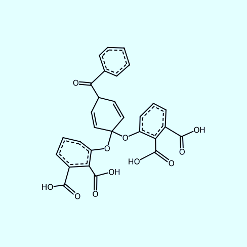 O=C(O)c1cccc(OC2(Oc3cccc(C(=O)O)c3C(=O)O)C=CC(C(=O)c3ccccc3)C=C2)c1C(=O)O